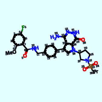 COc1ccc(F)cc1C(=O)NCc1ccc(-c2cn(C3CCN(S(=O)(=O)C(C)C)C3)c3c(=O)[nH]nc(N)c23)cc1